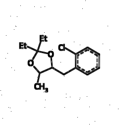 CCC1(CC)OC(C)C(Cc2ccccc2Cl)O1